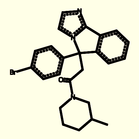 CC1CCCN(C(=O)CC2(c3ccc(Br)cc3)c3ccccc3-c3nccn32)C1